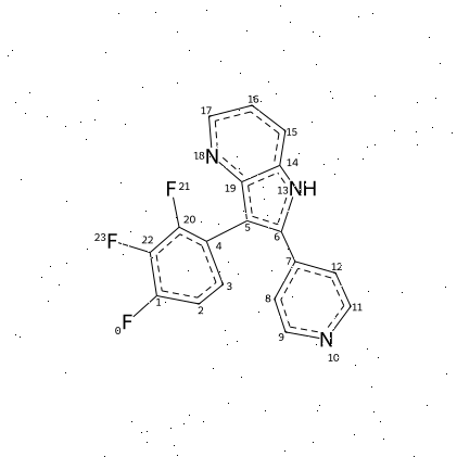 Fc1ccc(-c2c(-c3ccncc3)[nH]c3cccnc23)c(F)c1F